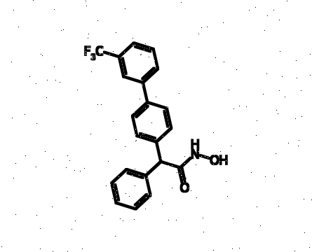 O=C(NO)C(c1ccccc1)c1ccc(-c2cccc(C(F)(F)F)c2)cc1